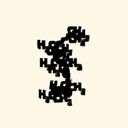 CC(C)(C)CCC/C=C/C(C)(C)C(=O)NCC(C)(C)CCC(C)(C)COC/C=C/C(C)(C)C(=O)NCC(C)(C)C